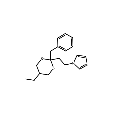 CCC1CSC(CCn2ccnc2)(Cc2ccccc2)SC1